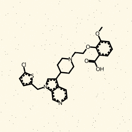 COc1cccc(C(=O)O)c1OCCN1CCC(c2cn(Cc3ccc(Cl)s3)c3cnccc23)CC1